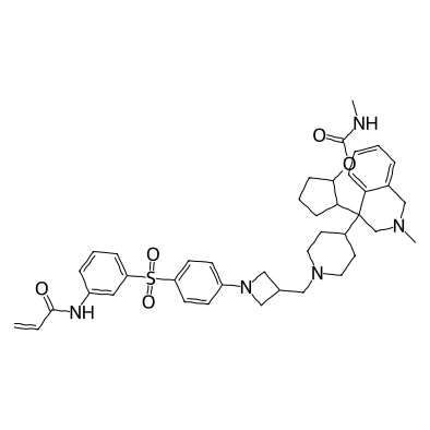 C=CC(=O)Nc1cccc(S(=O)(=O)c2ccc(N3CC(CN4CCC(C5(C6CCCC6OC(=O)NC)CN(C)Cc6ccccc65)CC4)C3)cc2)c1